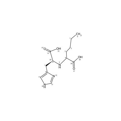 CCCCC(N[C@@H](Cc1c[nH]cn1)C(=O)O)C(=O)O